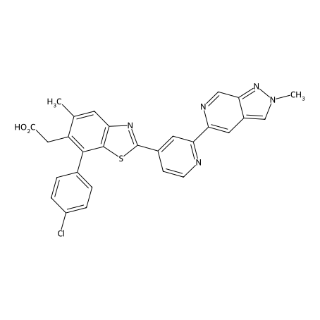 Cc1cc2nc(-c3ccnc(-c4cc5cn(C)nc5cn4)c3)sc2c(-c2ccc(Cl)cc2)c1CC(=O)O